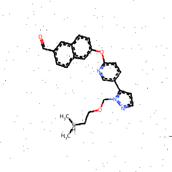 C[SiH](C)CCOCn1nccc1-c1ccc(Oc2ccc3cc(C=O)ccc3c2)nc1